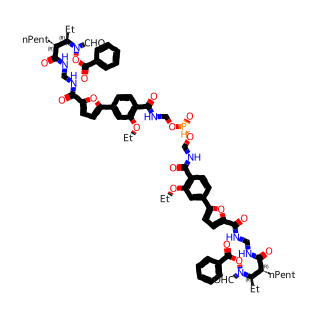 CCCCC[C@@H](C(=O)NCNC(=O)c1ccc(-c2ccc(C(=O)NCO[PH](=O)OCNC(=O)c3ccc(-c4ccc(C(=O)NCNC(=O)[C@H](CCCCC)[C@@H](CC)N(C=O)OC(=O)c5ccccc5)o4)cc3OCC)c(OCC)c2)o1)[C@@H](CC)N(C=O)OC(=O)c1ccccc1